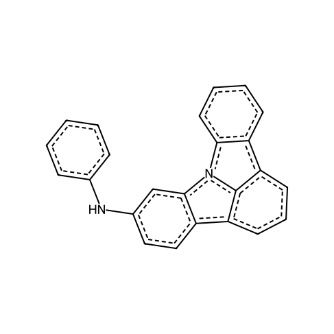 c1ccc(Nc2ccc3c4cccc5c6ccccc6n(c3c2)c54)cc1